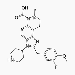 COc1ccc(Cc2nc3c4c(ccc3n2C2CCNCC2)N(C(=O)O)[C@@H](C)CC4)cc1F